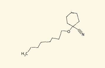 CCCCCCCCOC1(C#N)CC[CH]CC1